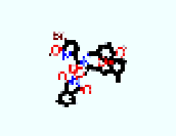 COc1ccc(CN(C(=O)c2ccc(Br)c(OC)n2)[C@H](CON2C(=O)c3ccccc3C2=O)c2cc3c(C)cccc3o2)cc1